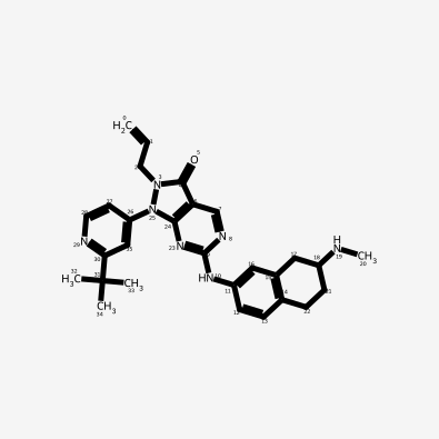 C=CCn1c(=O)c2cnc(Nc3ccc4c(c3)CC(NC)CC4)nc2n1-c1ccnc(C(C)(C)C)c1